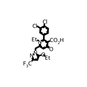 CCOc1cc(C(F)(F)F)nn1Cc1cc(=O)c(C(=O)O)c(-c2ccc(Cl)c(Cl)c2)n1CC